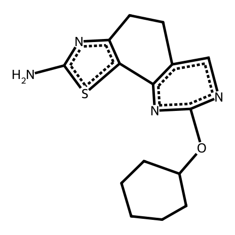 Nc1nc2c(s1)-c1nc(OC3CCCCC3)ncc1CC2